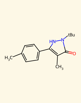 Cc1ccc(-c2[nH]n(C(C)(C)C)c(=O)c2C)cc1